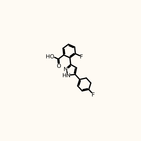 O=C(O)c1cccc(F)c1-c1cc(C2=CC=C(F)CC2)[nH]n1